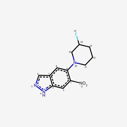 O=[N+]([O-])c1cc2[nH]ncc2cc1N1CCCC(F)C1